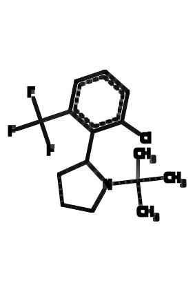 CC(C)(C)N1CCCC1c1c(Cl)cccc1C(F)(F)F